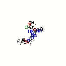 COc1ccc(CNc2nc(N3CCC4(CN(C(=O)OC(C)(C)C)C4)C3)ncc2C(=O)NCc2ccccc2)cc1Cl